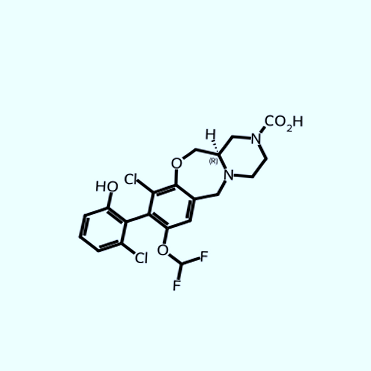 O=C(O)N1CCN2Cc3cc(OC(F)F)c(-c4c(O)cccc4Cl)c(Cl)c3OC[C@H]2C1